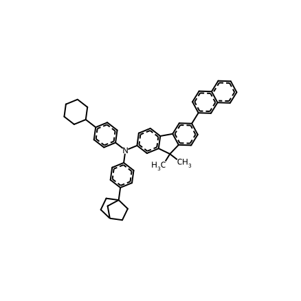 CC1(C)c2ccc(-c3ccc4ccccc4c3)cc2-c2ccc(N(c3ccc(C4CCCCC4)cc3)c3ccc(C45CCC(CC4)C5)cc3)cc21